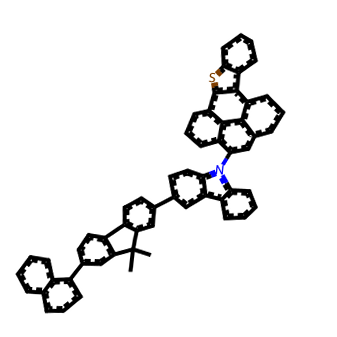 CC1(C)c2cc(-c3ccc4c(c3)c3ccccc3n4-c3cc4cccc5c6c7ccccc7sc6c6cccc3c6c45)ccc2-c2ccc(-c3cccc4ccccc34)cc21